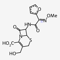 CO/N=C(/C(=O)NC1C(=O)N2C(C(=O)O)=C(CO)CSC12)c1ccco1